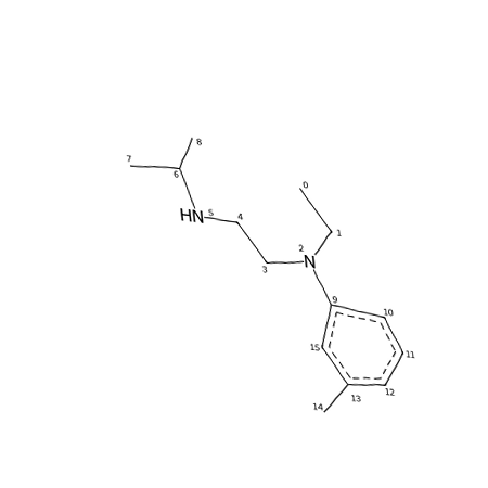 CCN(CCNC(C)C)c1cccc(C)c1